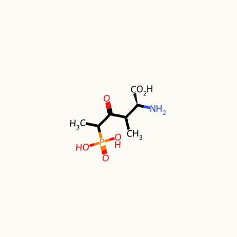 CC(C(=O)C(C)P(=O)(O)O)[C@H](N)C(=O)O